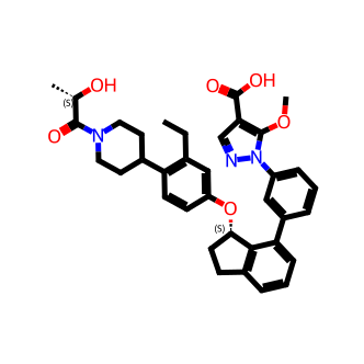 CCc1cc(O[C@H]2CCc3cccc(-c4cccc(-n5ncc(C(=O)O)c5OC)c4)c32)ccc1C1CCN(C(=O)[C@H](C)O)CC1